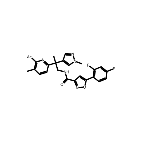 CC(=O)c1nc(C(C)(CNC(=O)c2cc(-c3ccc(F)cc3F)on2)c2cnn(C)c2)ccc1C